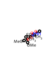 COc1ccc(C(OC[C@@]2(C)O[C@@H](n3cc(C)c(NC(=O)c4ccccc4)nc3=O)C=C2CC(=O)O)(c2ccccc2)c2ccc(OC)cc2)cc1